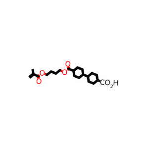 C=C(C)C(=O)OCCCCOC(=O)C1CCC(C2CCC(C(=O)O)CC2)CC1